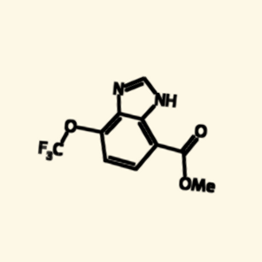 COC(=O)c1ccc(OC(F)(F)F)c2nc[nH]c12